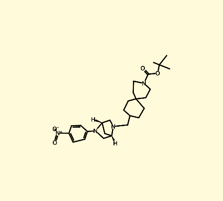 CC(C)(C)OC(=O)N1CCC2(CCC(CN3C[C@@H]4C[C@H]3CN4c3ccc([N+](=O)[O-])cc3)CC2)CC1